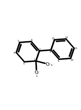 [O]C1([O])CC=CC=C1c1ccccc1